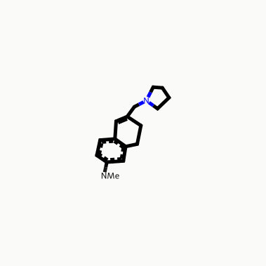 CNc1ccc2c(c1)CCC(CN1CCCC1)=C2